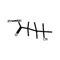 CC(C)NC(=O)C(C)(C)C(C)(C)C(C)(C)C#N